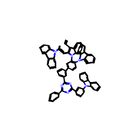 C=Cc1c(/C=C(\C)n2c3ccccc3c3ccccc32)n(-c2cc(-c3cccc(-c4nc(-c5ccccc5)nc(-c5cccc(-n6c7ccccc7c7ccccc76)c5)n4)c3)ccc2-n2c3ccccc3c3ccccc32)c2ccccc12